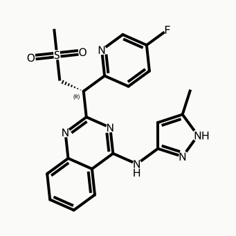 Cc1cc(Nc2nc([C@H](CS(C)(=O)=O)c3ccc(F)cn3)nc3ccccc23)n[nH]1